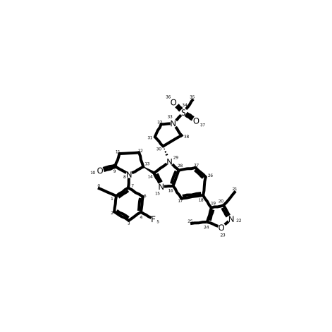 Cc1ccc(F)cc1N1C(=O)CC[C@H]1c1nc2cc(-c3c(C)noc3C)ccc2n1[C@@H]1CCN(S(C)(=O)=O)C1